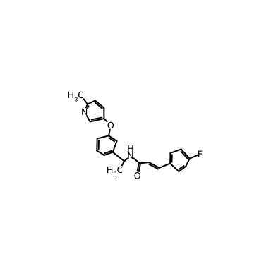 Cc1ccc(Oc2cccc(C(C)NC(=O)/C=C/c3ccc(F)cc3)c2)cn1